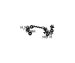 Cc1ncsc1-c1ccc([C@H](C)NC(=O)[C@@H]2C[C@@H](O)CN2C(=O)C(c2cc(OCCCCCCCCN3CCC(n4nc(N)c5nnc(-c6ccccc6O)cc54)CC3)no2)C(C)C)cc1